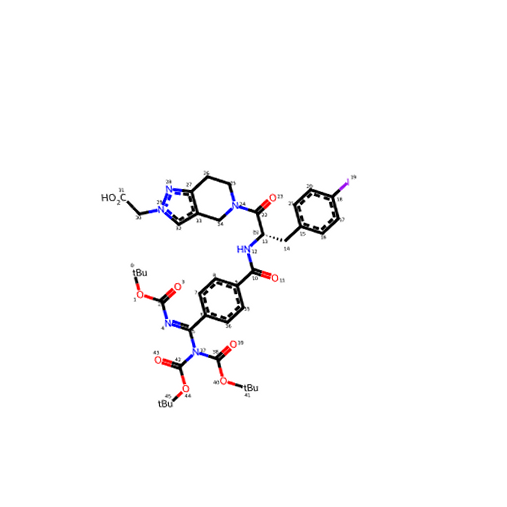 CC(C)(C)OC(=O)N=C(c1ccc(C(=O)N[C@@H](Cc2ccc(I)cc2)C(=O)N2CCc3nn(CC(=O)O)cc3C2)cc1)N(C(=O)OC(C)(C)C)C(=O)OC(C)(C)C